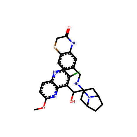 COc1ccc2ncc(Cl)c(C(O)CN3C4CCC3CC(NCc3ccc5c(c3)NC(=O)CS5)C4)c2n1